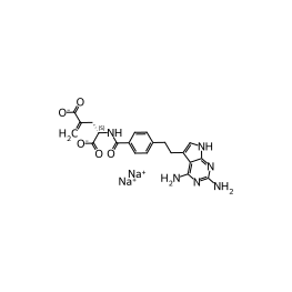 C=C(C[C@H](NC(=O)c1ccc(CCc2c[nH]c3nc(N)nc(N)c23)cc1)C(=O)[O-])C(=O)[O-].[Na+].[Na+]